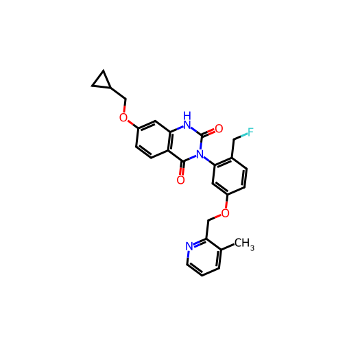 Cc1cccnc1COc1ccc(CF)c(-n2c(=O)[nH]c3cc(OCC4CC4)ccc3c2=O)c1